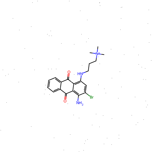 C[N+](C)(C)CCCNc1cc(Br)c(N)c2c1C(=O)c1ccccc1C2=O